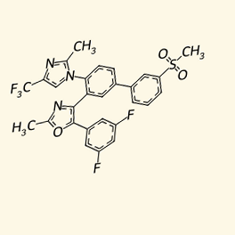 Cc1nc(-c2cc(-c3cccc(S(C)(=O)=O)c3)ccc2-n2cc(C(F)(F)F)nc2C)c(-c2cc(F)cc(F)c2)o1